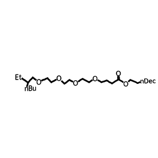 CCCCCCCCCCCCOC(=O)CCCOCCOCCOCCOCC(CC)CCCC